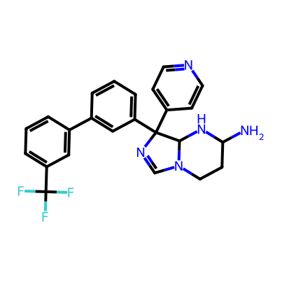 NC1CCN2C=NC(c3ccncc3)(c3cccc(-c4cccc(C(F)(F)F)c4)c3)C2N1